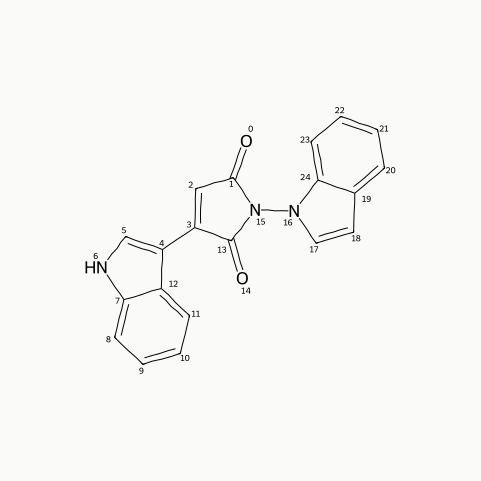 O=C1C=C(c2c[nH]c3ccccc23)C(=O)N1n1ccc2ccccc21